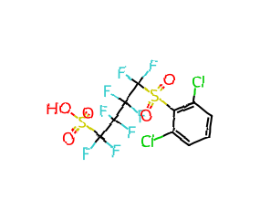 O=S(=O)(O)C(F)(F)C(F)(F)C(F)(F)C(F)(F)S(=O)(=O)c1c(Cl)cccc1Cl